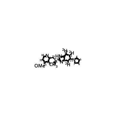 [2H]c1c(-n2cccc2)c([2H])c2nc([S+]([O-])Cc3nccc(OC)c3C)[nH]c2c1[2H]